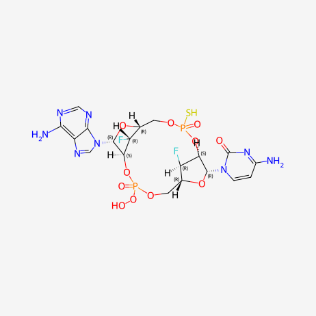 Nc1ccn([C@@H]2O[C@@H]3COP(=O)(OO)O[C@@H]4[C@H](F)[C@@H](COP(=O)(S)O[C@@H]2[C@@H]3F)O[C@H]4n2cnc3c(N)ncnc32)c(=O)n1